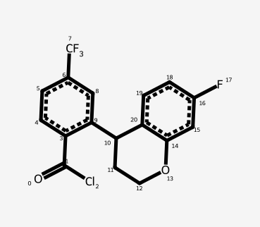 O=C(Cl)c1ccc(C(F)(F)F)cc1C1CCOc2cc(F)ccc21